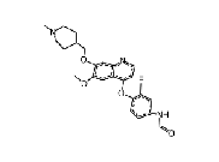 COc1cc2c(Oc3ccc(NC=O)cc3F)ccnc2cc1OCC1CCN(C)CC1